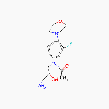 CC(=O)N(CC(O)CN)c1ccc(N2CCOCC2)c(F)c1